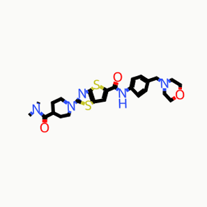 CN(C)C(=O)C1CCN(c2nc3sc(C(=O)Nc4ccc(CN5CCOCC5)cc4)cc3s2)CC1